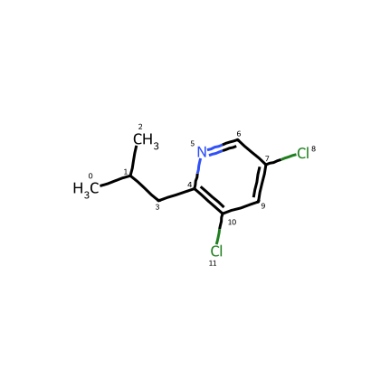 CC(C)Cc1ncc(Cl)cc1Cl